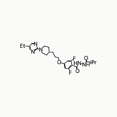 CCc1cnc(N2CCC(CCCOc3cc(F)c(C(=O)NNC(=O)C(C)C)c(F)c3)CC2)nc1